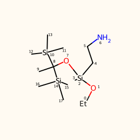 CCO[Si](C)(CCN)OC(C)([Si](C)(C)C)[Si](C)(C)C